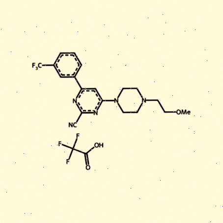 COCCN1CCN(c2cc(-c3cccc(C(F)(F)F)c3)nc(C#N)n2)CC1.O=C(O)C(F)(F)F